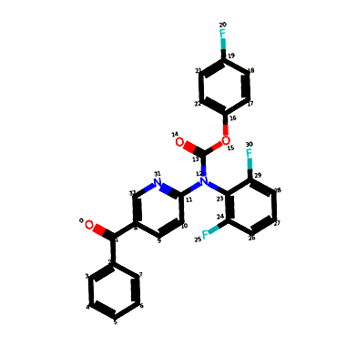 O=C(c1ccccc1)c1ccc(N(C(=O)Oc2ccc(F)cc2)c2c(F)cccc2F)nc1